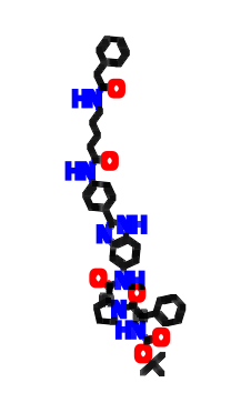 CC(C)(C)OC(=O)N[C@H](C(=O)N1CCC[C@H]1C(=O)Nc1ccc2[nH]c(-c3ccc(NC(=O)CCCCNC(=O)Cc4ccccc4)cc3)nc2c1)c1ccccc1